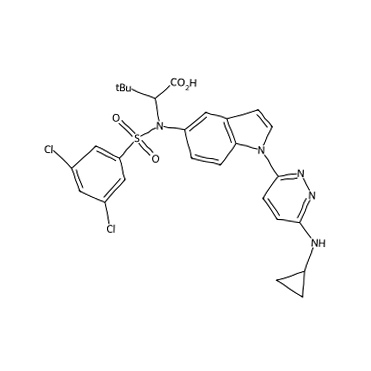 CC(C)(C)C(C(=O)O)N(c1ccc2c(ccn2-c2ccc(NC3CC3)nn2)c1)S(=O)(=O)c1cc(Cl)cc(Cl)c1